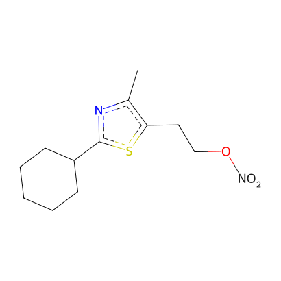 Cc1nc(C2CCCCC2)sc1CCO[N+](=O)[O-]